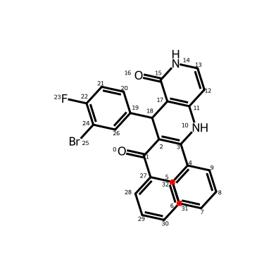 O=C(C1=C(c2ccccc2)Nc2cc[nH]c(=O)c2C1c1ccc(F)c(Br)c1)c1ccccc1